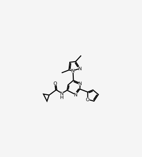 Cc1cc(C)n(-c2cc(NC(=O)C3CC3)nc(-c3ccco3)n2)n1